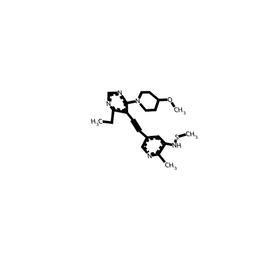 CCc1ncnc(N2CCC(OC)CC2)c1C#Cc1cnc(C)c(NSC)c1